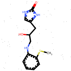 CSc1ccccc1NCC(O)Cc1c[nH]c(=O)[nH]1